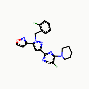 Fc1ccccc1Cn1nc(-c2ncc(F)c(N3CC[CH]CC3)n2)cc1-c1ccon1